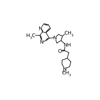 Cc1ncc(N2CC(C)C(NC(=O)CC3CCN(C)CC3)C2)c2cccnc12